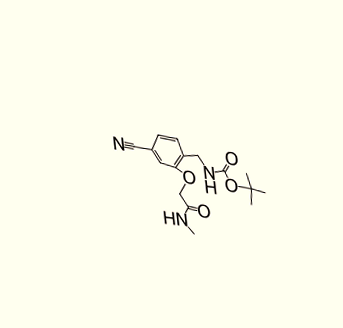 CNC(=O)COc1cc(C#N)ccc1CNC(=O)OC(C)(C)C